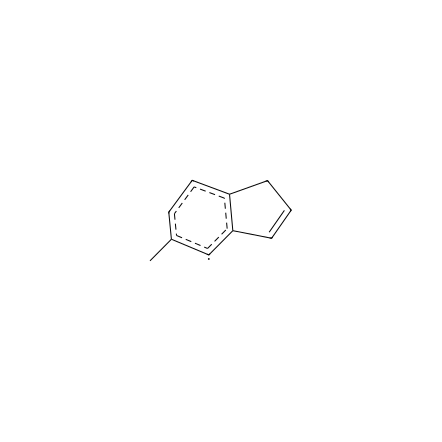 Cc1[c]c2c(cc1)CC=C2